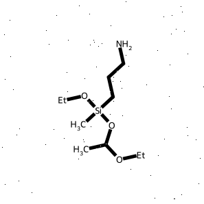 CCOC(C)O[Si](C)(CCCN)OCC